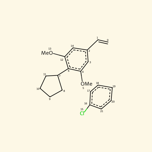 C=Cc1cc(OC)c(C2CCCC2)c(OC)c1.Clc1ccccc1